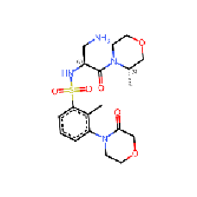 Cc1c(N2CCOCC2=O)cccc1S(=O)(=O)N[C@@H](CN)C(=O)N1CCOC[C@@H]1C